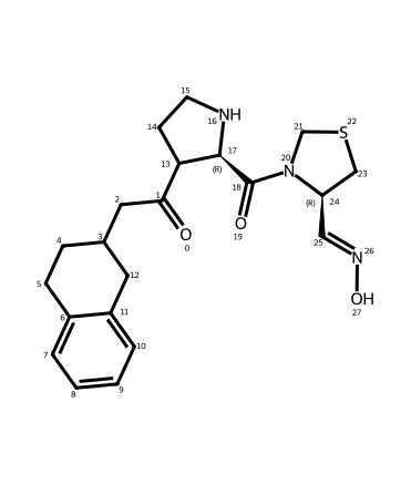 O=C(CC1CCc2ccccc2C1)C1CCN[C@H]1C(=O)N1CSC[C@H]1C=NO